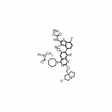 CC(=O)N(C)C(=O)[C@H]1CCCN(c2nc(OC[C@@]34CCCN3C[C@H](F)C4)nc3c(F)c(-c4ccc(F)c5sc(NC(=O)OC(C)(C)C)c(C#N)c45)c(Cl)cc23)CC1